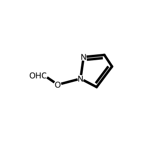 O=COn1cccn1